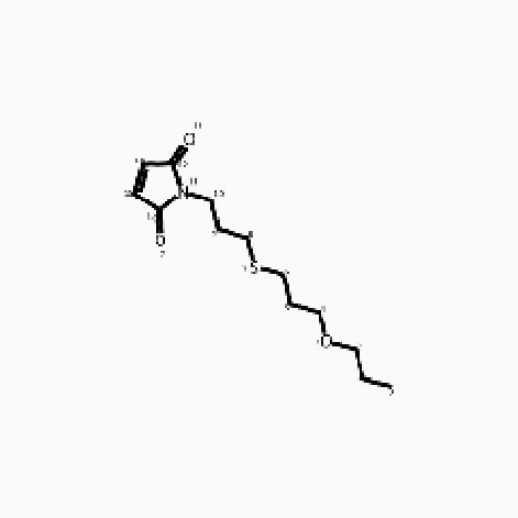 CCCOCCCSCCCN1C(=O)C=CC1=O